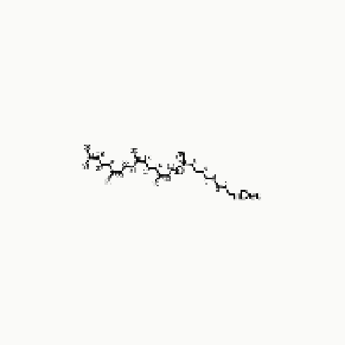 CCCCCCCCCCCCCCCCCCC(=O)OCC=C(C)CCC=C(C)CCC=C(C)CCC=C(C)C